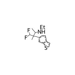 CCNC(C)C(C)(c1ccc2ccsc2c1)C(F)F